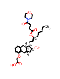 CCCCC[C@@H](CC[C@@H]1[C@H]2Cc3cccc(OCC(=O)O)c3C[C@H]2C[C@H]1O)OC(=O)CCC(=O)N1CCOCC1